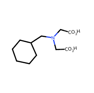 O=C(O)CN(CC(=O)O)CC1CCCCC1